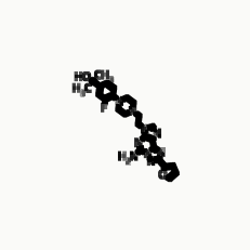 CC(C)(O)c1ccc(N2CCN(CCn3cnc4c3nc(N)n3nc(-c5ccco5)nc43)CC2)c(F)c1